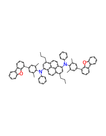 CCCc1cc(N(c2ccccc2)c2c(C)cc(-c3cccc4c3oc3ccccc34)cc2C)c2ccc3c(CCC)cc(N(c4ccccc4)c4c(C)cc(-c5cccc6c5oc5ccccc56)cc4C)c4ccc1c2c34